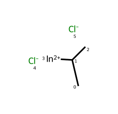 C[CH](C)[In+2].[Cl-].[Cl-]